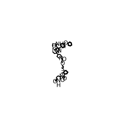 NC(=O)c1c(-c2ccc(Oc3ccccc3)cc2)nn2c1NCCC2C1CCN(C(=O)COCCSc2cccc3c2CN(C2CCC(=O)NC2=O)C3=O)CC1